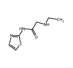 CCNCC(=O)Nc1nccs1